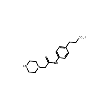 O=C(O)CCc1ccc(NC(=O)CN2CCNCC2)cc1